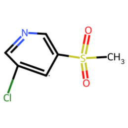 CS(=O)(=O)c1[c]c(Cl)cnc1